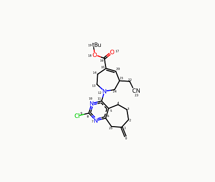 C=C1CCCc2c(nc(Cl)nc2N2CCC(C(=O)OC(C)(C)C)=CC(CC#N)C2)C1